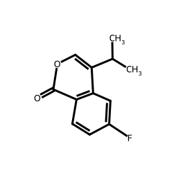 CC(C)c1coc(=O)c2ccc(F)cc12